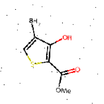 Bc1csc(C(=O)OC)c1O